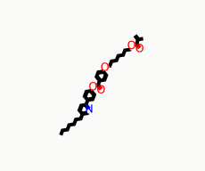 C=C(C)C(=O)OCCCCCCCOc1ccc(C(=O)Oc2ccc(-c3ccc(CCCCCCC)cn3)cc2)cc1